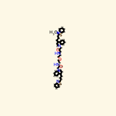 C[n+]1c(C=C/C=C2/C=CN(CC(=O)CNCCOCCNC(=O)CN3C=C/C(=C/C=C/c4nc5ccccc5s4)c4ccccc43)c3ccccc32)sc2ccccc21